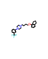 FC(F)(F)c1cccc(N2CCN(CCCCOc3cccc4c3CCC4)CC2)c1